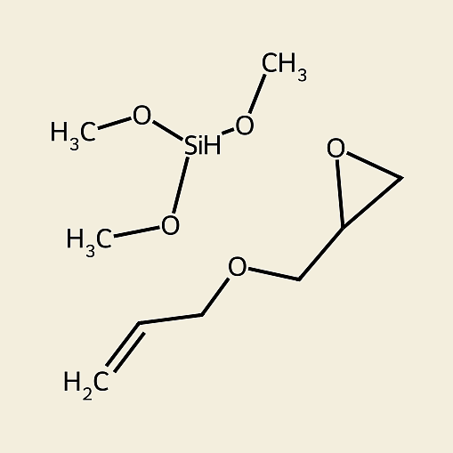 C=CCOCC1CO1.CO[SiH](OC)OC